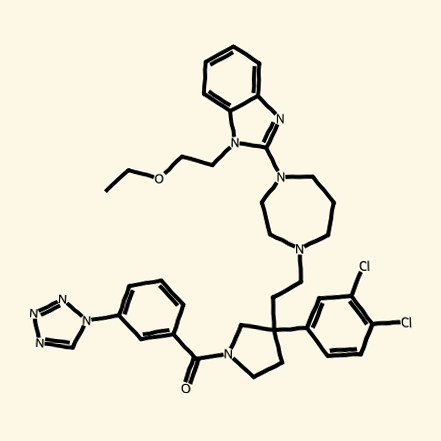 CCOCCn1c(N2CCCN(CCC3(c4ccc(Cl)c(Cl)c4)CCN(C(=O)c4cccc(-n5cnnn5)c4)C3)CC2)nc2ccccc21